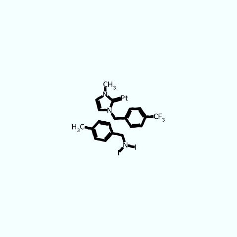 Cc1ccc(CN(I)I)cc1.Cn1ccn(Cc2ccc(C(F)(F)F)cc2)[c]1=[Pt]